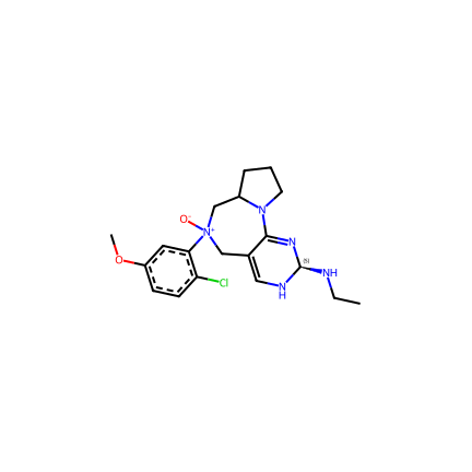 CCN[C@@H]1N=C2C(=CN1)C[N+]([O-])(c1cc(OC)ccc1Cl)CC1CCCN21